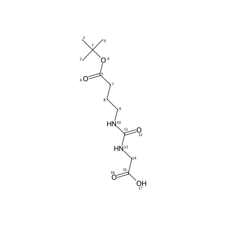 CC(C)(C)OC(=O)CCCNC(=O)NCC(=O)O